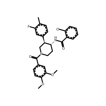 COc1ccc(C(=O)N2CC[C@@H](NC(=O)c3ccccc3Cl)[C@H](c3ccc(C)c(F)c3)C2)cc1OC